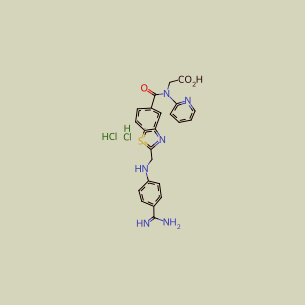 Cl.Cl.N=C(N)c1ccc(NCc2nc3cc(C(=O)N(CC(=O)O)c4ccccn4)ccc3s2)cc1